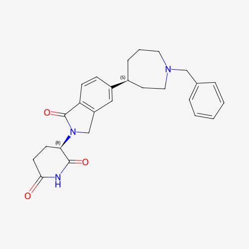 O=C1CC[C@@H](N2Cc3cc([C@H]4CCCN(Cc5ccccc5)CC4)ccc3C2=O)C(=O)N1